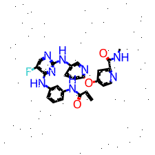 C=CC(=O)Nc1cccc(Nc2nc(Nc3ccc(Oc4ccnc(C(=O)NC)c4)nc3)ncc2F)c1